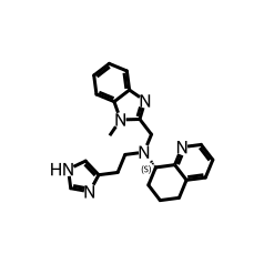 Cn1c(CN(CCc2c[nH]cn2)[C@H]2CCCc3cccnc32)nc2ccccc21